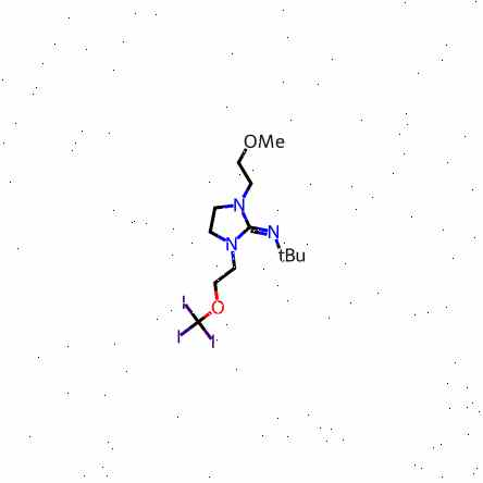 COCCN1CCN(CCOC(I)(I)I)C1=NC(C)(C)C